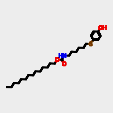 CCCCCCCCCCCCCCOC(=O)NCCCCCCSc1ccc(O)cc1